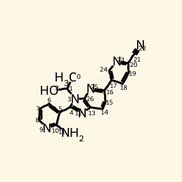 CC(O)n1c(-c2cccnc2N)nc2ccc(-c3ccc(C#N)nc3)nc21